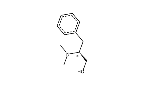 CN(C)[C@H](CO)Cc1ccccc1